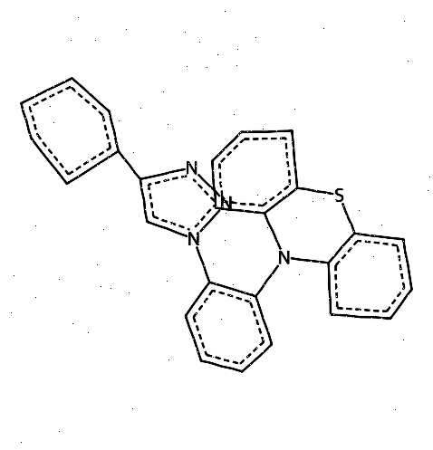 c1ccc(-c2cn(-c3ccccc3N3c4ccccc4Sc4ccccc43)nn2)cc1